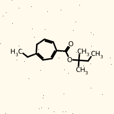 CCC1=CC=C(C(=O)OC(C)(C)CC)C=CC1